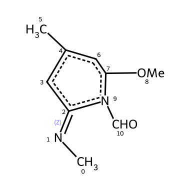 C/N=c1/cc(C)cc(OC)n1C=O